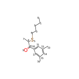 CCCCCSC(C)C(=O)c1cc(C)cc(C)c1